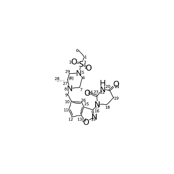 CCS(=O)(=O)N1CCN(Cc2ccc3onc(N4CCC(=O)NC4=O)c3c2)[C@H](C)C1